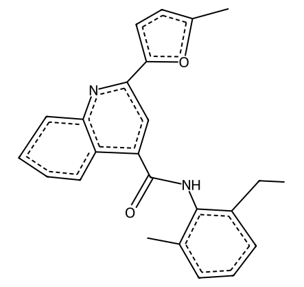 CCc1cccc(C)c1NC(=O)c1cc(-c2ccc(C)o2)nc2ccccc12